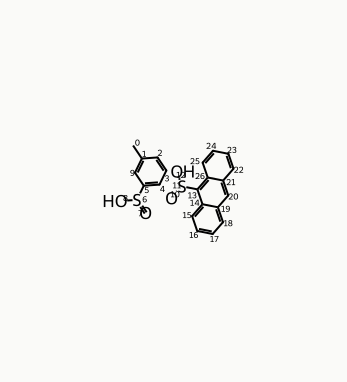 Cc1cccc(S(=O)O)c1.O=S(O)c1c2ccccc2cc2ccccc12